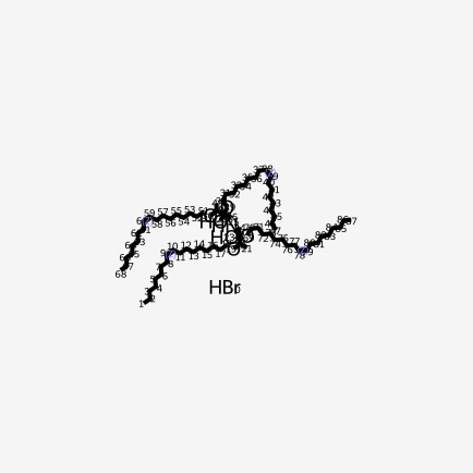 Br.CCCCCCCC/C=C\CCCCCCCCOC(C)C(O)(CNCC(O)(OCCCCCCCC/C=C\CCCCCCCC)C(C)OCCCCCCCC/C=C\CCCCCCCC)OCCCCCCCC/C=C\CCCCCCCC